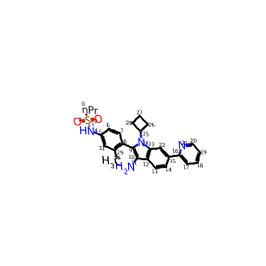 CCCS(=O)(=O)Nc1ccc(-c2c(N)c3ccc(-c4ccccn4)cc3n2C2CCC2)c(C)c1